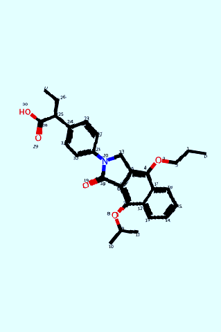 CCCOc1c2c(c(OC(C)C)c3ccccc13)C(=O)N(c1ccc(C(CC)C(=O)O)cc1)C2